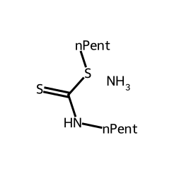 CCCCCNC(=S)SCCCCC.N